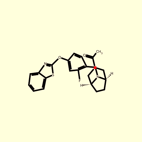 CC(=O)N1C[C@H]2CC[C@@H](C1)N2Cc1ccc(Oc2nc3ccccc3s2)cc1F